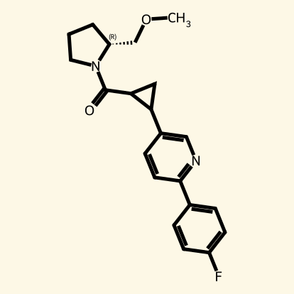 COC[C@H]1CCCN1C(=O)C1CC1c1ccc(-c2ccc(F)cc2)nc1